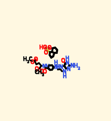 COC(=O)CCC(NC(=O)c1ccc(NCC2CNc3nc(N)[nH]c(=O)c3N2)cc1)C(=O)OC.O=S(=O)(O)c1cccc2ccccc12